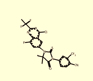 CC(F)(F)c1nc(Cl)c2cc(N3C(=S)N(c4ccc(C#N)c(C(F)(F)F)c4)C(=O)C3(C)C)cc(F)c2n1